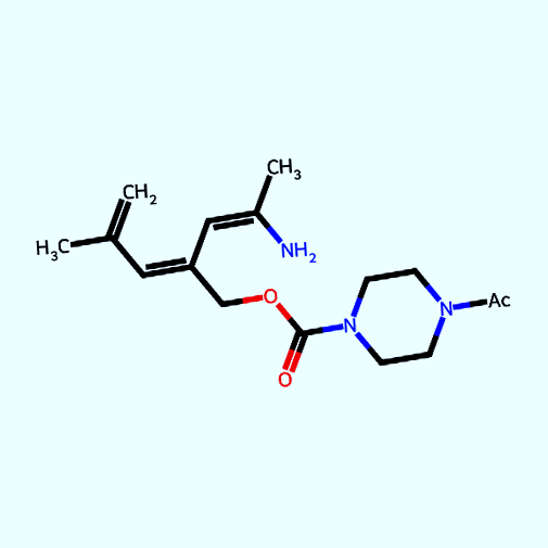 C=C(C)/C=C(\C=C(\C)N)COC(=O)N1CCN(C(C)=O)CC1